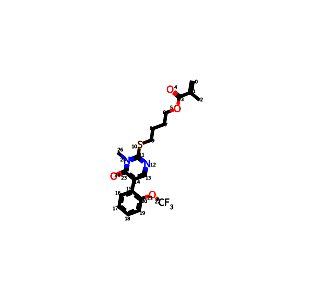 C=C(C)C(=O)OCCCCSc1ncc(-c2ccccc2OC(F)(F)F)c(=O)n1C